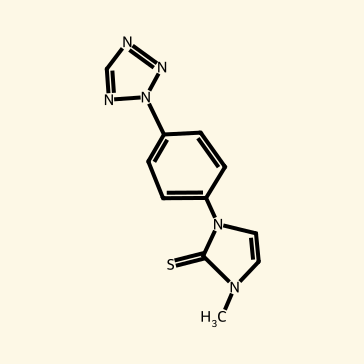 Cn1ccn(-c2ccc(-n3ncnn3)cc2)c1=S